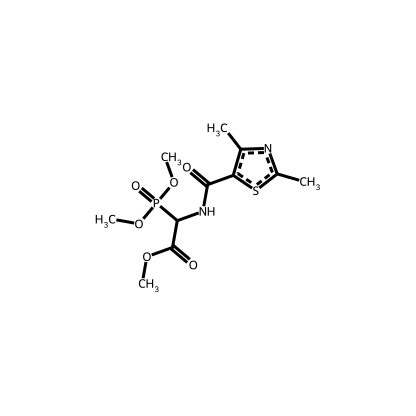 COC(=O)C(NC(=O)c1sc(C)nc1C)P(=O)(OC)OC